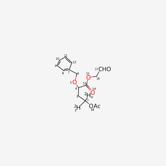 [2H]C([2H])(CC(OCc1ccccc1)C(=O)OCC=O)OC(C)=O